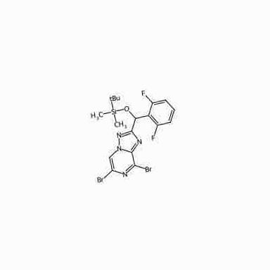 CC(C)(C)[Si](C)(C)OC(c1nc2c(Br)nc(Br)cn2n1)c1c(F)cccc1F